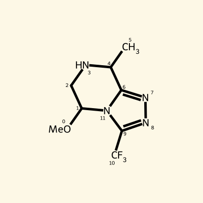 COC1CNC(C)c2nnc(C(F)(F)F)n21